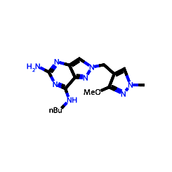 CCCCNc1nc(N)nc2cn(Cc3cn(C)nc3OC)nc12